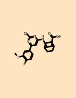 COc1cc(-c2cc(NC3C4CCC(CC4)C3C(=O)O)nc(Cl)n2)ccc1F